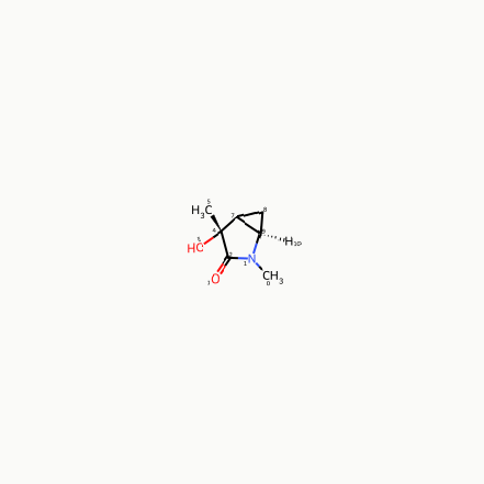 CN1C(=O)[C@](C)(O)C2C[C@H]21